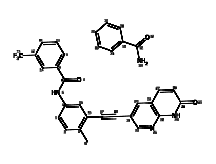 Cc1ccc(NC(=O)c2cccc(C(F)(F)F)c2)cc1C#Cc1cnc2[nH]c(=O)ccc2c1.NC(=O)c1ccccc1